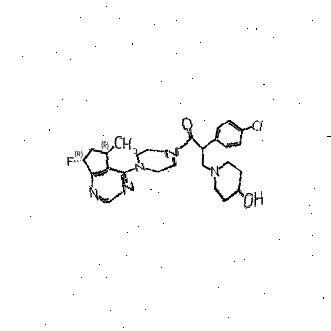 C[C@@H]1C[C@@H](F)c2ncnc(N3CCN(C(=O)C(CN4CCC(O)CC4)c4ccc(Cl)cc4)CC3)c21